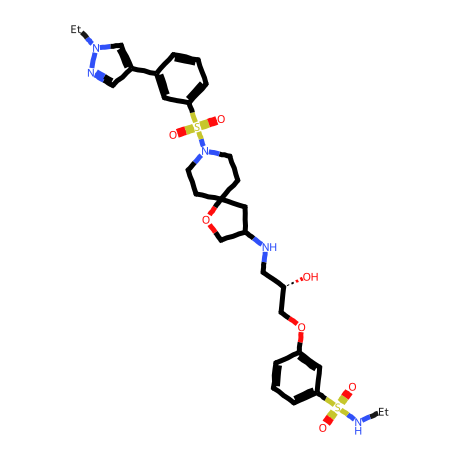 CCNS(=O)(=O)c1cccc(OC[C@@H](O)CNC2COC3(CCN(S(=O)(=O)c4cccc(-c5cnn(CC)c5)c4)CC3)C2)c1